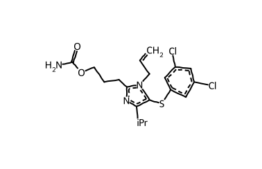 C=CCn1c(CCCOC(N)=O)nc(C(C)C)c1Sc1cc(Cl)cc(Cl)c1